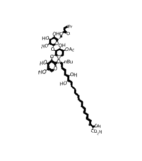 CCCC[C@H](CCC[C@H](O)[C@@H](O)CCCCCCCCCCCCCC[C@H](O)C(=O)O)OC1OC[C@H](O)[C@@H](O)[C@@H]1O[C@H]1OC[C@H](OC(C)=O)[C@@H](O)[C@@H]1O[C@H]1O[C@@H](COC(=O)CC(C)C)[C@H](O)[C@@H](O)[C@@H]1O